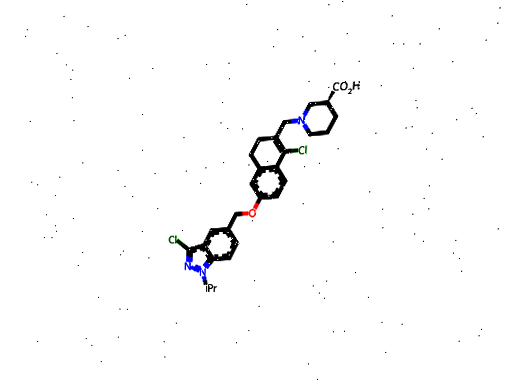 CC(C)n1nc(Cl)c2cc(COc3ccc4c(c3)CCC(CN3CCC[C@H](C(=O)O)C3)=C4Cl)ccc21